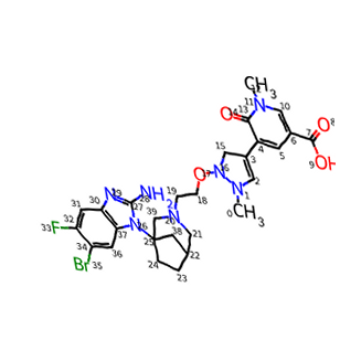 CN1C=C(c2cc(C(=O)O)cn(C)c2=O)CN1OCCN1CC2CCC(n3c(N)nc4cc(F)c(Br)cc43)(C2)C1